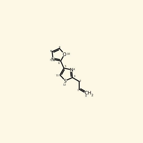 C=CCc1nc(-c2ncco2)[c]s1